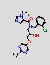 Cn1cncc1C(=O)N(Cc1ccccc1Cl)CC(O)COc1cnc(C(F)(F)F)nc1